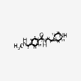 CNCc1ccc(C(=O)NCCN2CCNCC2)cc1